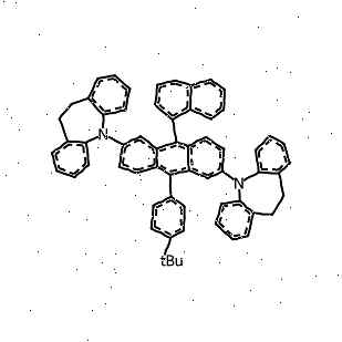 CC(C)(C)c1ccc(-c2c3cc(N4c5ccccc5CCc5ccccc54)ccc3c(-c3cccc4ccccc34)c3cc(N4c5ccccc5CCc5ccccc54)ccc23)cc1